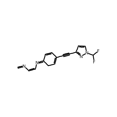 C=N/C=C\N=C1\C=CC(C#Cc2ccn(C(F)F)n2)=CC1